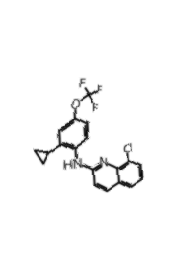 FC(F)(F)Oc1ccc(Nc2ccc3cccc(Cl)c3n2)c(C2CC2)c1